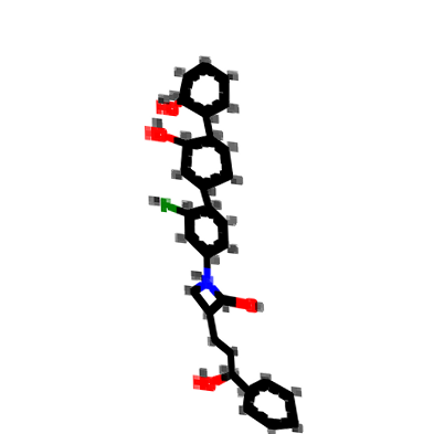 O=C1C(CC[C@H](O)c2ccccc2)CN1c1ccc(-c2ccc(-c3ccccc3O)c(O)c2)c(F)c1